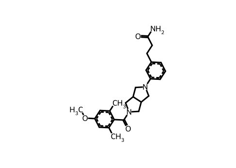 COc1cc(C)c(C(=O)N2CC3CN(c4cccc(CCC(N)=O)c4)CC3C2)c(C)c1